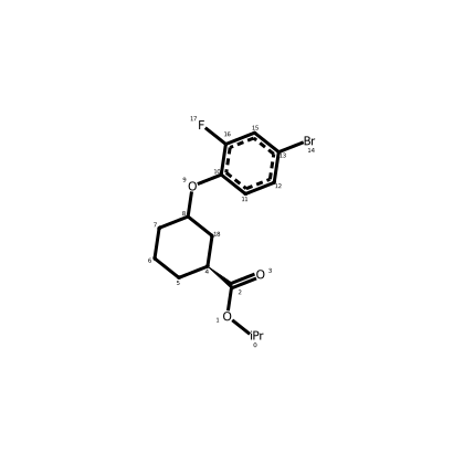 CC(C)OC(=O)[C@H]1CCCC(Oc2ccc(Br)cc2F)C1